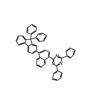 c1ccc(-c2nc(-c3ccccc3)nc(-c3ccc(-c4ccc5c(c4)C(c4ccccc4)(c4ccccc4)c4ccccc4-5)c4ccccc34)n2)cc1